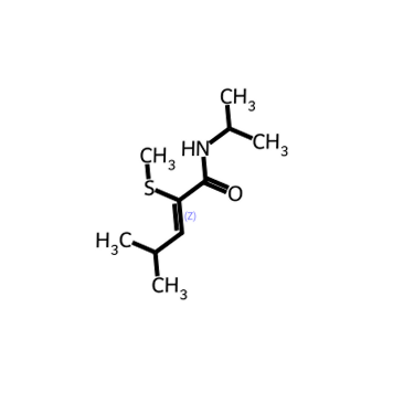 CS/C(=C\C(C)C)C(=O)NC(C)C